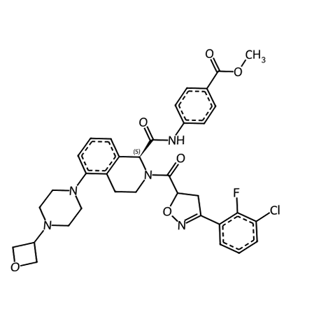 COC(=O)c1ccc(NC(=O)[C@@H]2c3cccc(N4CCN(C5COC5)CC4)c3CCN2C(=O)C2CC(c3cccc(Cl)c3F)=NO2)cc1